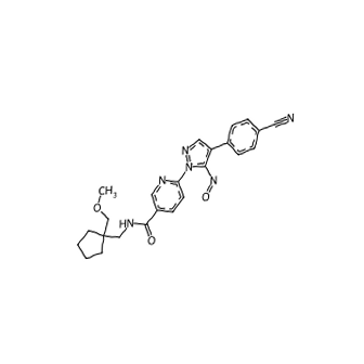 COCC1(CNC(=O)c2ccc(-n3ncc(-c4ccc(C#N)cc4)c3N=O)nc2)CCCC1